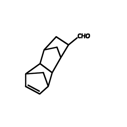 O=CC1CC2CC1C1C3C=CC(C3)C21